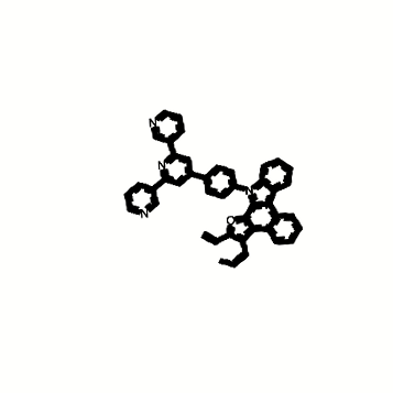 C=Cc1oc2c(c1/C=C\C)c1ccccc1c1c3ccccc3n(-c3ccc(-c4cc(-c5cccnc5)nc(-c5cccnc5)c4)cc3)c21